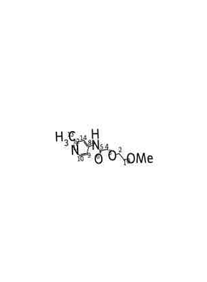 COCCOCC(=O)Nc1ccnc(C)c1